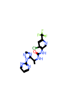 CC(NC(=O)Nc1cnc(C(F)(F)F)cc1Cl)c1ncnn1-c1ncccn1